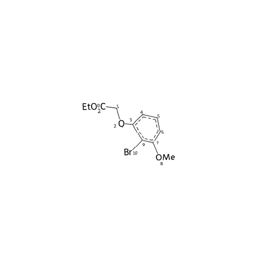 CCOC(=O)COc1cccc(OC)c1Br